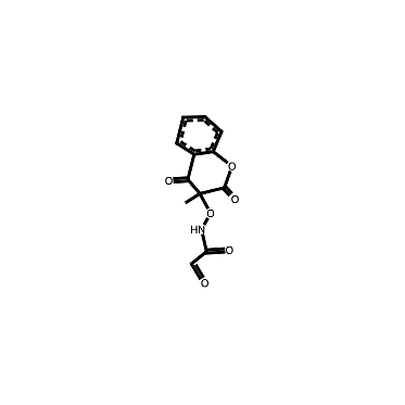 CC1(ONC(=O)C=O)C(=O)Oc2ccccc2C1=O